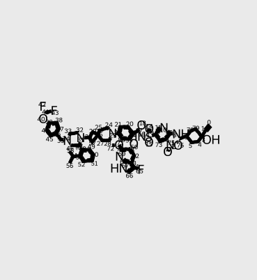 C#CC1(O)CCC(CNc2ncc(S(=O)(=O)NC(=O)c3ccc(N4CCC5(CC4)CC(N4CCN(Cc6ccc(OC(F)F)cc6)C[C@H]4c4ccccc4C(C)C)C5)cc3Oc3cc4c(F)c[nH]c4nc3OC)cc2[N+](=O)[O-])CC1